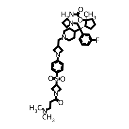 CN(C)CCC(=O)N1CC(S(=O)(=O)c2ccc(N3CC(CN4CCC(C(CN5CCC5)(c5cccc(F)c5)[C@H]5CCC[C@]5(C)OC(N)=O)CC4)C3)cc2)C1